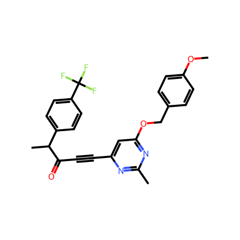 COc1ccc(COc2cc(C#CC(=O)C(C)c3ccc(C(F)(F)F)cc3)nc(C)n2)cc1